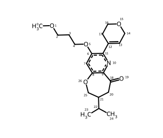 COCCCOc1cc2c(nc1C1=CCOCC1)C(=O)CC(C(C)C)CO2